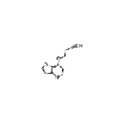 C#CCCOc1ccnc2ccsc12